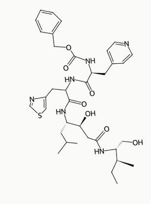 CC[C@H](C)[C@@H](CO)NC(=O)C[C@H](O)[C@H](CC(C)C)NC(=O)C(Cc1cscn1)NC(=O)[C@H](Cc1ccncc1)NC(=O)OCc1ccccc1